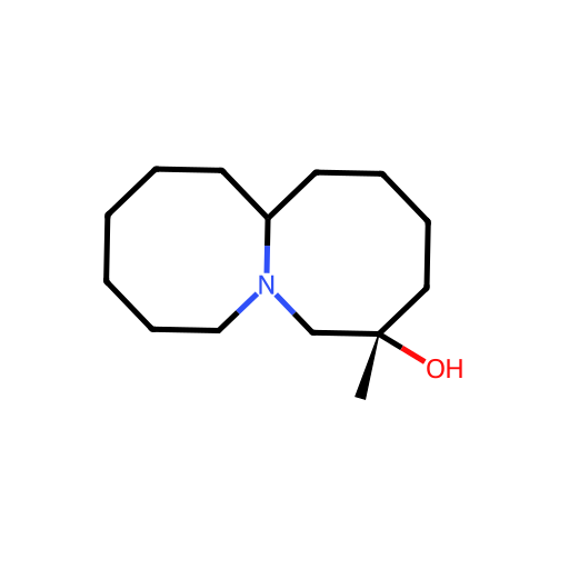 C[C@]1(O)CCCCC2CCCCCCN2C1